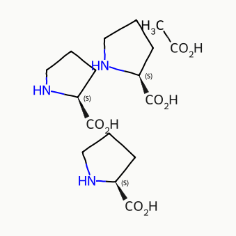 CC(=O)O.O=C(O)[C@@H]1CCCN1.O=C(O)[C@@H]1CCCN1.O=C(O)[C@@H]1CCCN1